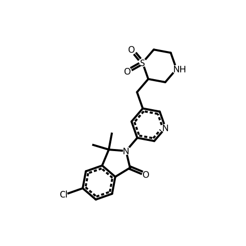 CC1(C)c2cc(Cl)ccc2C(=O)N1c1cncc(CC2CNCCS2(=O)=O)c1